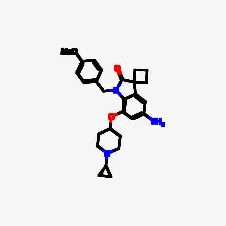 COc1ccc(CN2C(=O)C3(CCC3)c3cc(N)cc(OC4CCN(C5CC5)CC4)c32)cc1